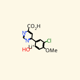 COc1ccc(-c2cc(C(=O)O)ncn2)cc1Cl.[Li+].[OH-]